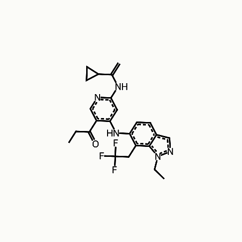 C=C(Nc1cc(Nc2ccc3cnn(CC)c3c2CC(F)(F)F)c(C(=O)CC)cn1)C1CC1